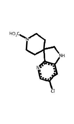 O=C(O)N1CCC2(CC1)CNc1cc(Cl)cnc12